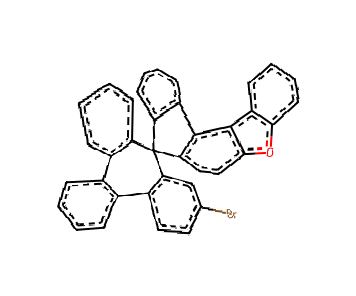 Brc1ccc2c(c1)C1(c3ccccc3-c3ccccc3-2)c2ccccc2-c2c1ccc1oc3ccccc3c21